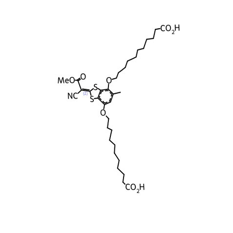 COC(=O)/C(C#N)=C1/Sc2c(OCCCCCCCCCCC(=O)O)cc(C)c(OCCCCCCCCCCC(=O)O)c2S1